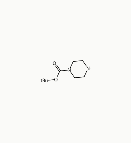 CC(C)(C)OC(=O)N1CC[N]CC1